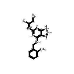 CC(=O)Oc1ccccc1CNc1nc(NC(CO)C(C)C)nc2[nH]nnc12